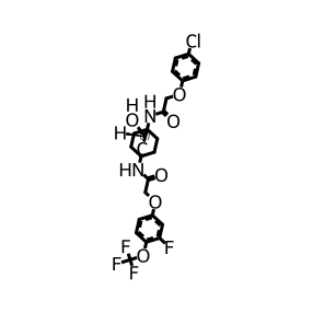 O=C(COc1ccc(OC(F)(F)F)c(F)c1)NC12CCC(NC(=O)COc3ccc(Cl)cc3)(CC1)[C@@H](O)C2